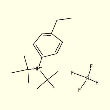 CCc1ccc([PH+](C(C)(C)C)C(C)(C)C)cc1.F[B-](F)(F)F